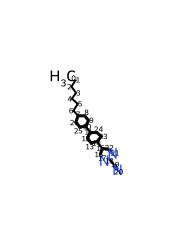 CCCCCCCc1ccc(-c2ccc(-c3cnc(C#N)nc3)cc2)cc1